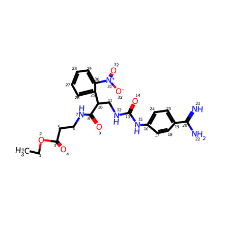 CCOC(=O)CCNC(=O)C(CNC(=O)Nc1ccc(C(=N)N)cc1)c1ccccc1[N+](=O)[O-]